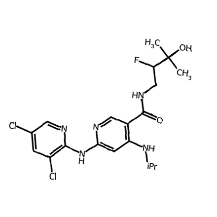 CC(C)Nc1cc(Nc2ncc(Cl)cc2Cl)ncc1C(=O)NCC(F)C(C)(C)O